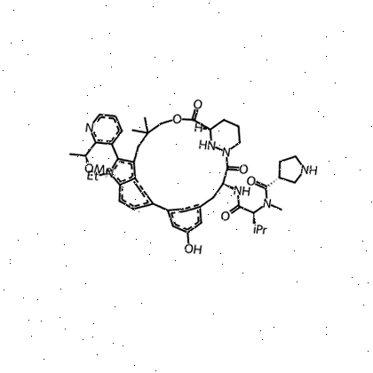 CCn1c(-c2cccnc2[C@H](C)OC)c2c3cc(ccc31)-c1cc(O)cc(c1)C[C@H](NC(=O)[C@H](C(C)C)N(C)C(=O)[C@@H]1CCNC1)C(=O)N1CCC[C@H](N1)C(=O)OCC(C)(C)C2